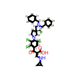 O=C(O)C(=CNC1CC1)C(=O)c1cc(F)c(N2CC[C@](CF)(CN(Cc3ccccc3)Cc3ccccc3)C2)c(F)c1F